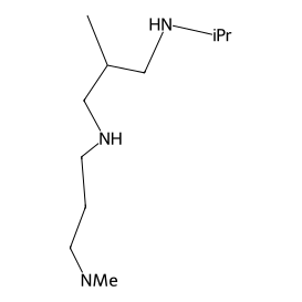 CNCCCNCC(C)CNC(C)C